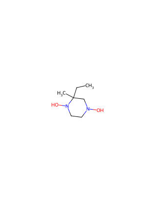 CCC1(C)CN(O)CCN1O